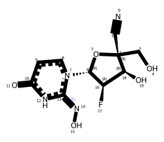 N#C[C@]1(CO)O[C@@H](n2ccc(=O)[nH]/c2=N\O)[C@H](F)[C@@H]1O